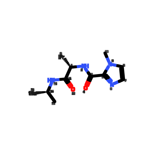 CC(C)[C@H](NC(=O)c1nccn1C)C(=O)N[C@H](C)C(C)(C)C